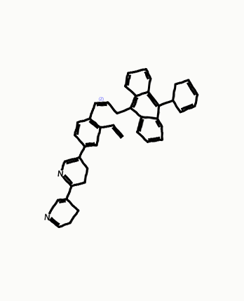 C=Cc1cc(C2=CN=C(C3=CN=CCC3)CC2)ccc1/C=C\Cc1c2ccccc2c(C2C=CC=CC2)c2ccccc12